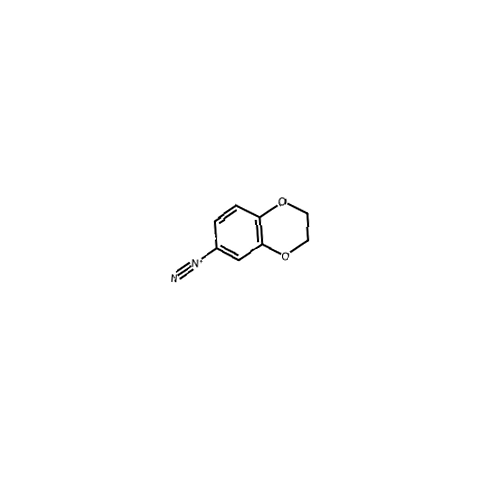 N#[N+]c1ccc2c(c1)OCCO2